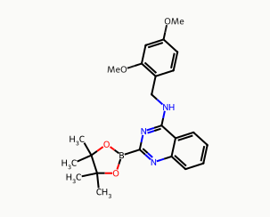 COc1ccc(CNc2nc(B3OC(C)(C)C(C)(C)O3)nc3ccccc23)c(OC)c1